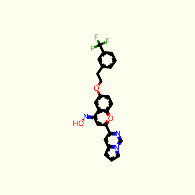 O/N=c1\cc(-c2cc3cccn3cn2)oc2ccc(OCCc3cccc(C(F)(F)F)c3)cc12